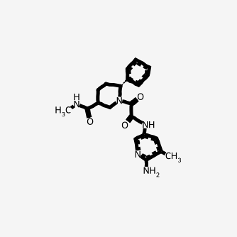 CNC(=O)C1CC[C@H](c2ccccc2)N(C(=O)C(=O)Nc2cnc(N)c(C)c2)C1